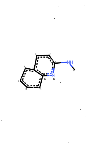 CNc1ccc2cc[c]cc2n1